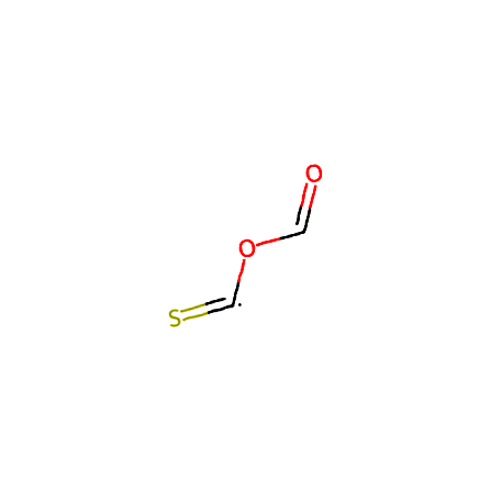 O=CO[C]=S